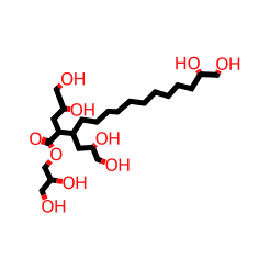 O=C(OCC(O)CO)C(CC(O)CO)C(CCCCCCCCCCC(O)CO)CC(O)CO